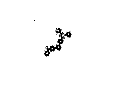 O=c1c2ccccc2oc2cc(-c3cccc(-c4ccc(-c5nc(-c6ccccc6)nc(-c6ccncc6)n5)cc4)c3)ccc12